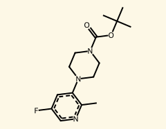 Cc1ncc(F)cc1N1CCN(C(=O)OC(C)(C)C)CC1